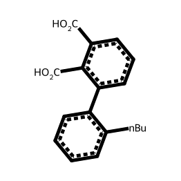 CCCCc1ccccc1-c1cccc(C(=O)O)c1C(=O)O